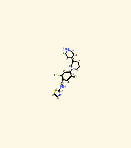 Fc1cc(N2CCCC(C3CCNCC3)C2)c(Cl)cc1SNc1nccs1